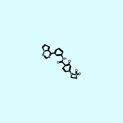 O=C(Nc1cccc(-c2ncnn3cccc23)c1)c1ccc(N2CCS2(=O)=O)cc1Cl